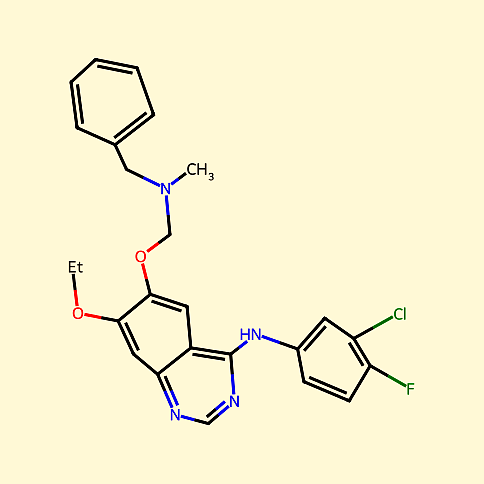 CCOc1cc2ncnc(Nc3ccc(F)c(Cl)c3)c2cc1OCN(C)Cc1ccccc1